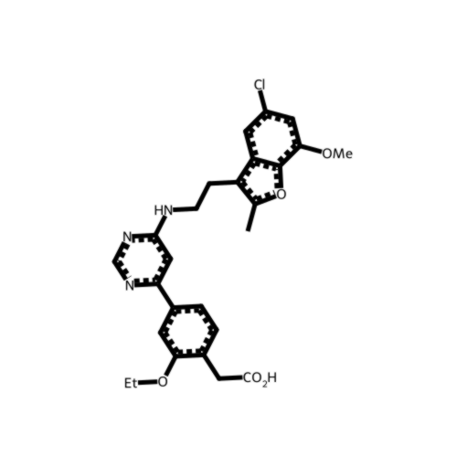 CCOc1cc(-c2cc(NCCc3c(C)oc4c(OC)cc(Cl)cc34)ncn2)ccc1CC(=O)O